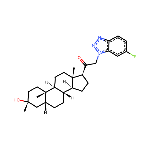 C[C@@]1(O)CC[C@@]2(C)[C@H](CC[C@@H]3[C@@H]2CC[C@]2(C)[C@@H](C(=O)Cn4nnc5ccc(F)cc54)CC[C@@H]32)C1